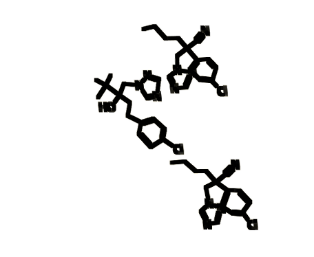 CC(C)(C)C(O)(CCc1ccc(Cl)cc1)Cn1cncn1.CCCCC(C#N)(Cn1cncn1)c1ccc(Cl)cc1.CCCCC(C#N)(Cn1cncn1)c1ccc(Cl)cc1